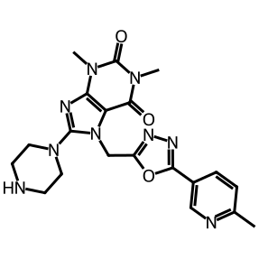 Cc1ccc(-c2nnc(Cn3c(N4CCNCC4)nc4c3c(=O)n(C)c(=O)n4C)o2)cn1